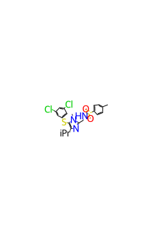 Cc1ccc(S(=O)(=O)NCc2nc(C(C)C)c(Sc3cc(Cl)cc(Cl)c3)n2C)cc1